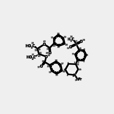 CCCN1CCC[C@@H](c2cccc(S(C)(=O)=O)c2)C1.O=C(O[C@H](C(=O)O)[C@H](OC(=O)c1ccccc1)C(=O)O)c1ccccc1